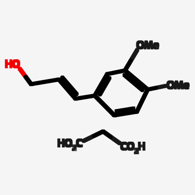 COc1ccc(C=CCO)cc1OC.O=C(O)CC(=O)O